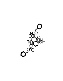 CN(C)[C@@H]1c2onc(OCc3ccccc3)c2C(=O)[C@]2(O)[C@H]1[C@@H](OC(=O)OCc1ccccc1)C=C[C@H]2O